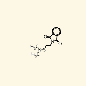 CN(C)SCCN1C(=O)c2ccccc2C1=O